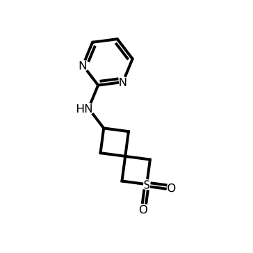 O=S1(=O)CC2(CC(Nc3ncccn3)C2)C1